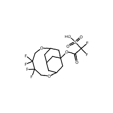 O=C(OC12CC3CC(C1)OCC(F)(F)C(F)(F)COC(C3)C2)C(F)(F)S(=O)(=O)O